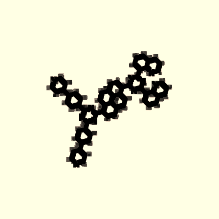 c1cnc2c(-c3nc(-c4ccc5ccc6c(-c7nc(-c8ccc(-c9ccncc9)cc8)nc(-c8ccc(-c9ccncc9)cc8)n7)ccc7ccc4c5c76)nc(-c4cccc5cccnc45)n3)cccc2c1